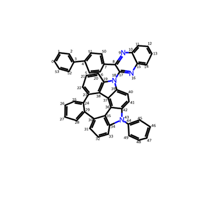 c1ccc(-c2ccc(-c3nc4ccccc4nc3-n3c4cccc5c6ccccc6c6cccc7c6c6c(c54)c3ccc6n7-c3ccccc3)cc2)cc1